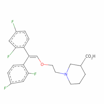 O=C(O)C1CCCN(CCOC=C(c2ccc(F)cc2F)c2ccc(F)cc2F)C1